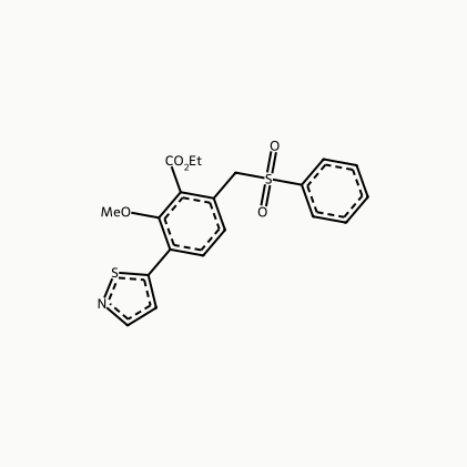 CCOC(=O)c1c(CS(=O)(=O)c2ccccc2)ccc(-c2ccns2)c1OC